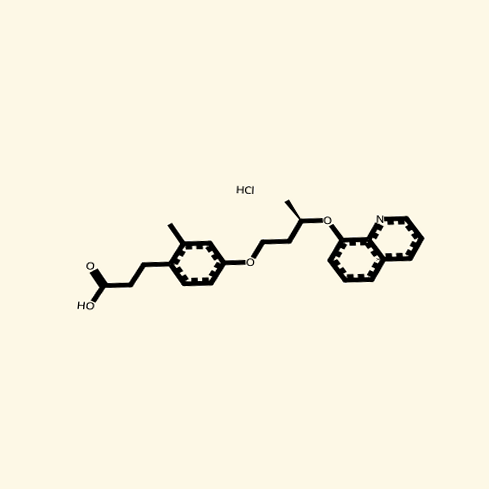 Cc1cc(OCC[C@@H](C)Oc2cccc3cccnc23)ccc1CCC(=O)O.Cl